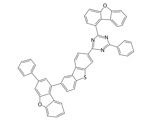 c1ccc(-c2cc(-c3ccc4sc5cc(-c6nc(-c7ccccc7)nc(-c7cccc8oc9ccccc9c78)n6)ccc5c4c3)c3c(c2)oc2ccccc23)cc1